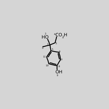 CC(O)(CC(=O)O)c1ccc(O)cc1